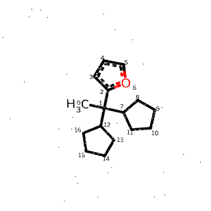 CC(c1ccco1)(C1CCCC1)C1CCCC1